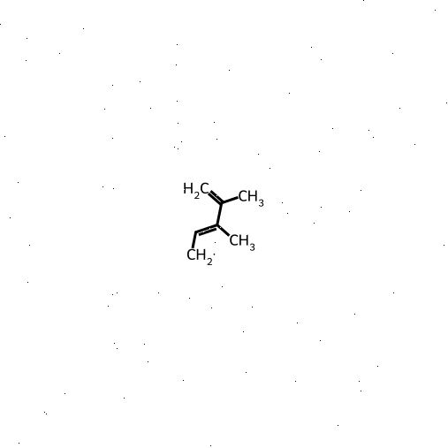 [CH2]/C=C(\C)C(=C)C